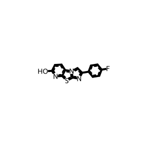 Oc1ccc2c(n1)sc1nc(-c3ccc(F)cc3)cn12